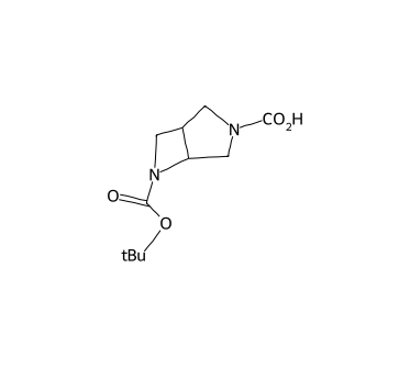 CC(C)(C)OC(=O)N1CC2CN(C(=O)O)CC21